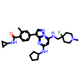 Cc1cc(-c2cnn3c(NCC4(F)CCN(C)CC4)cc(NC4CCCC4)nc23)ccc1C(=O)NC1CC1